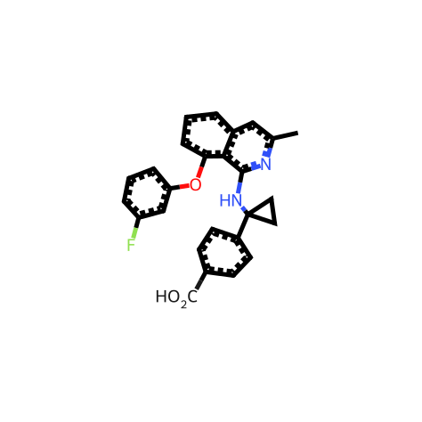 Cc1cc2cccc(Oc3cccc(F)c3)c2c(NC2(c3ccc(C(=O)O)cc3)CC2)n1